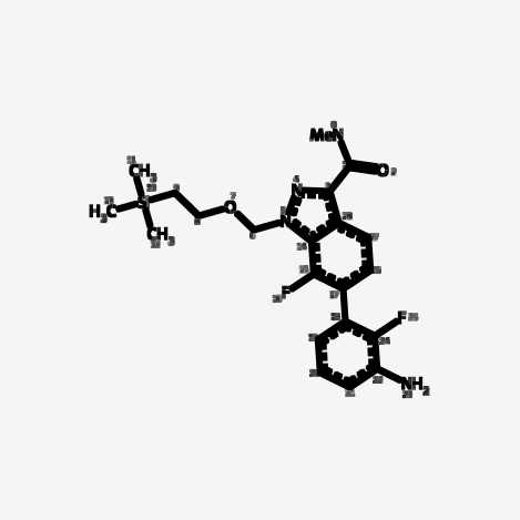 CNC(=O)c1nn(COCC[Si](C)(C)C)c2c(F)c(-c3cccc(N)c3F)ccc12